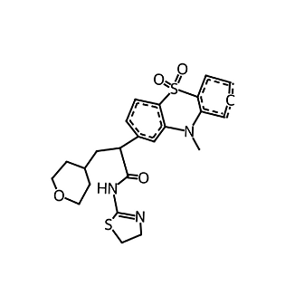 CN1c2ccccc2S(=O)(=O)c2ccc(C(CC3CCOCC3)C(=O)NC3=NCCS3)cc21